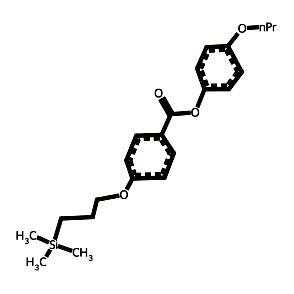 CCCOc1ccc(OC(=O)c2ccc(OCCC[Si](C)(C)C)cc2)cc1